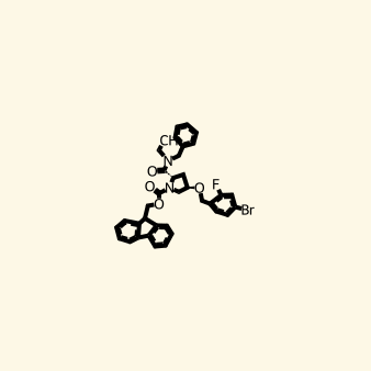 CCN(Cc1ccccc1)C(=O)[C@@H]1C[C@@H](OCc2ccc(Br)cc2F)CN1C(=O)OCC1c2ccccc2-c2ccccc21